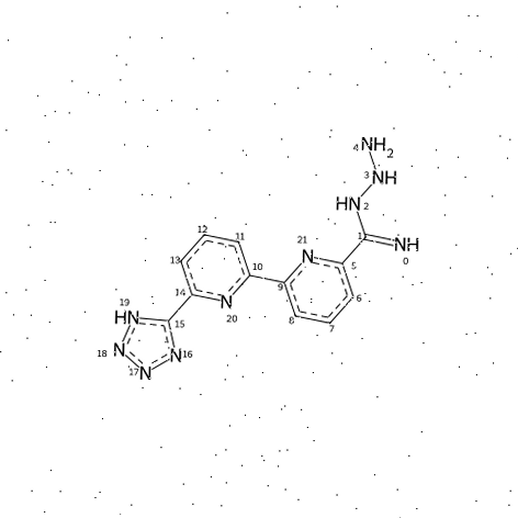 N=C(NNN)c1cccc(-c2cccc(-c3nnn[nH]3)n2)n1